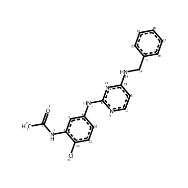 CC(=O)Nc1cc(Nc2nccc(NCc3ccccc3)n2)ccc1Cl